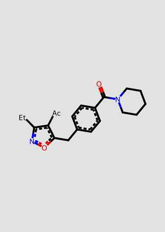 CCc1noc(Cc2ccc(C(=O)N3CCCCC3)cc2)c1C(C)=O